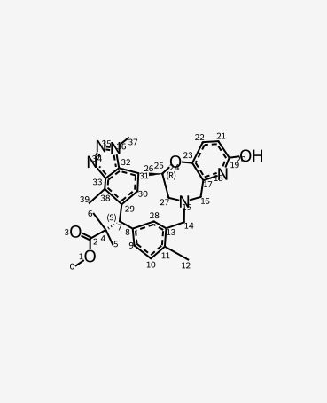 COC(=O)C(C)(C)[C@@H](c1ccc(C)c(CN2Cc3nc(O)ccc3O[C@H](C)C2)c1)c1ccc2c(nnn2C)c1C